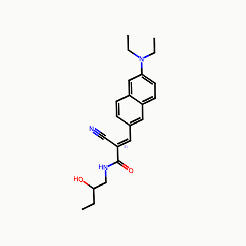 CCC(O)CNC(=O)/C(C#N)=C/c1ccc2cc(N(CC)CC)ccc2c1